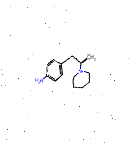 CC(Cc1ccc(N)cc1)N1CCCCC1